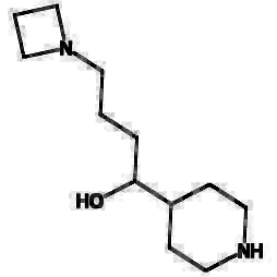 OC(CCCN1CCC1)C1CCNCC1